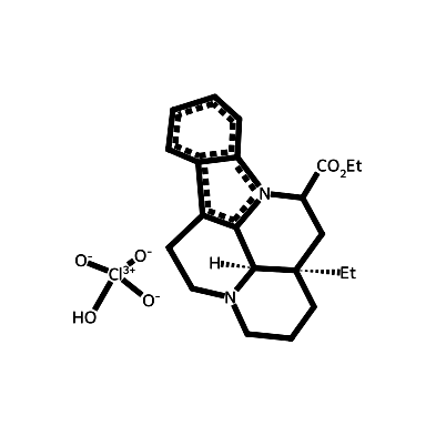 CCOC(=O)C1C[C@@]2(CC)CCCN3CCc4c(n1c1ccccc41)[C@H]32.[O-][Cl+3]([O-])([O-])O